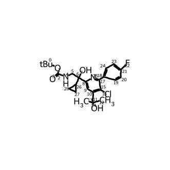 CC(C)(C)OC(=O)NCC(O)(c1cc(C(C)(C)O)c(Cl)c(-c2ccc(F)cc2)n1)C1CC1